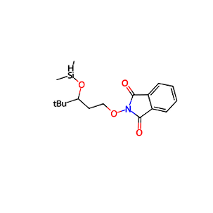 C[SiH](C)OC(CCON1C(=O)c2ccccc2C1=O)C(C)(C)C